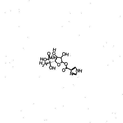 NC(O)([C@H]1OC(OC(=O)c2c[nH]cn2)[C@H](O)[C@@H]1O)P(=O)(O)O